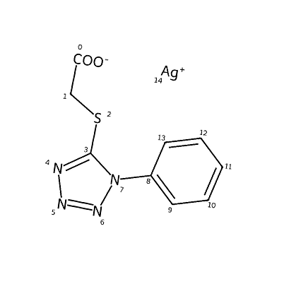 O=C([O-])CSc1nnnn1-c1ccccc1.[Ag+]